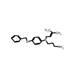 CC(C)=CCN(CCCN)c1ccc(OCc2ccccc2)cc1